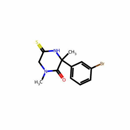 CN1CC(=S)NC(C)(c2cccc(Br)c2)C1=O